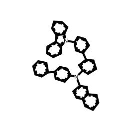 c1ccc(-c2ccc(N(c3cccc(-c4cccc(-n5c6ccccc6c6ccccc65)c4)c3)c3ccc4ccccc4c3)cc2)cc1